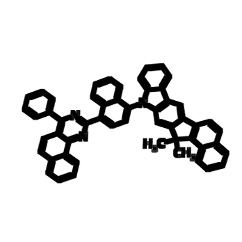 CC1(C)c2cc3c(cc2-c2ccc4ccccc4c21)c1ccccc1n3-c1ccc(-c2nc(-c3ccccc3)c3ccc4ccccc4c3n2)c2ccccc12